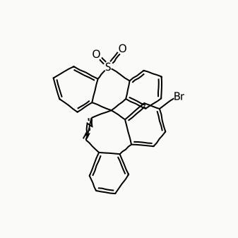 O=S1(=O)c2ccccc2C2(c3ccccc3-c3ccccc3-c3ccc(Br)cc32)c2ccccc21